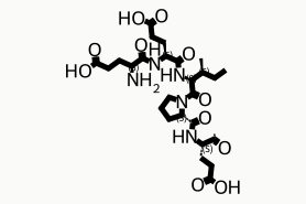 CC[C@H](C)[C@H](NC(=O)[C@H](CCC(=O)O)NC(=O)[C@@H](N)CCC(=O)O)C(=O)N1CCC[C@H]1C(=O)N[C@H]([C]=O)CCC(=O)O